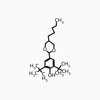 CCCCCC1COC(c2cc(C(C)(C)C)c(O)c(C(C)(C)C)c2)OC1